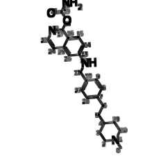 CN1CCC(CCc2ccc(CNc3ccc4c(OC(N)=O)nccc4c3)cc2)CC1